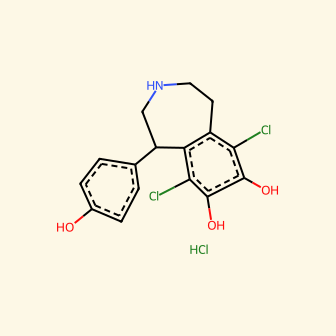 Cl.Oc1ccc(C2CNCCc3c(Cl)c(O)c(O)c(Cl)c32)cc1